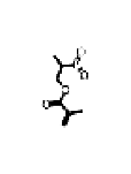 C=C(C)C(=O)OCC(C)P(=O)=O